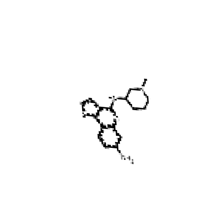 CN1CCCC(Nc2nc3cc(N)ccc3c3sccc23)C1